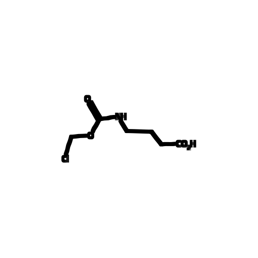 O=C(O)CCCNC(=O)OCCl